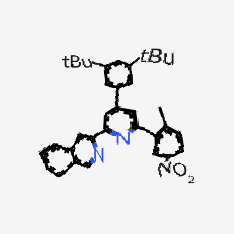 Cc1ccc([N+](=O)[O-])cc1-c1cc(-c2cc(C(C)(C)C)cc(C(C)(C)C)c2)cc(-c2cc3ccccc3cn2)n1